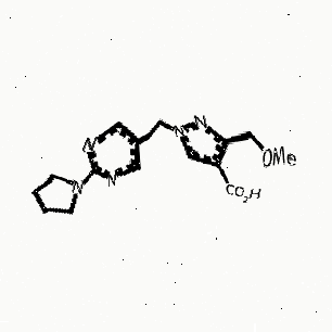 COCc1nn(Cc2cnc(N3CCCC3)nc2)cc1C(=O)O